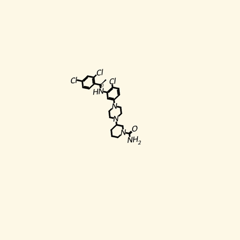 C[C@@H](Nc1cc(N2CCN(C3CCCN(C(N)=O)C3)CC2)ccc1Cl)c1ccc(Cl)cc1Cl